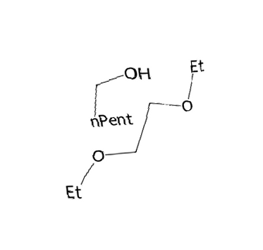 CCCCCCO.CCOCCOCC